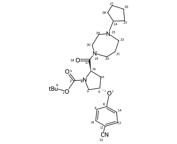 CC(C)(C)OC(=O)N1C[C@@H](Oc2ccc(C#N)cc2)C[C@@H]1C(=O)N1CCCN(C2CCCC2)CC1